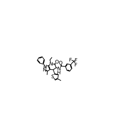 CCN1C(=O)C(NC(=O)c2cccc(C(F)(F)F)c2)C(c2cc(C)cs2)c2c(C)nn(-c3ccccc3)c21